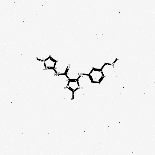 COCc1cccc(Nc2sc(C)nc2C(=O)Nc2ccn(C)n2)c1